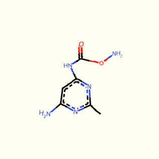 Cc1nc(N)cc(NC(=O)ON)n1